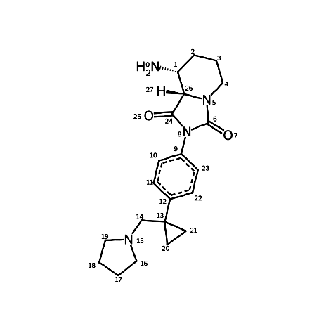 N[C@@H]1CCCN2C(=O)N(c3ccc(C4(CN5CCCC5)CC4)cc3)C(=O)[C@H]12